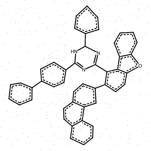 c1ccc(-c2ccc(C3=NC(c4c(-c5ccc6ccc7ccccc7c6c5)ccc5oc6ccccc6c45)=NC(c4ccccc4)N3)cc2)cc1